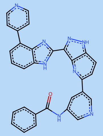 O=C(Nc1cncc(-c2ccc3[nH]nc(-c4nc5c(-c6ccncc6)cccc5[nH]4)c3n2)c1)c1ccccc1